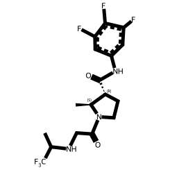 CC(NCC(=O)N1CC[C@@H](C(=O)Nc2cc(F)c(F)c(F)c2)[C@@H]1C)C(F)(F)F